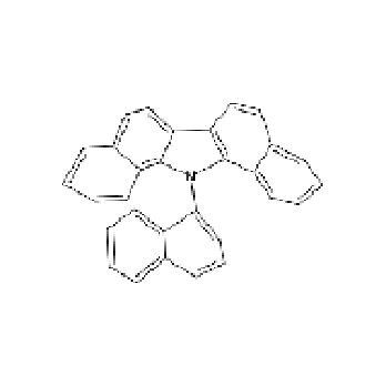 c1ccc2c(-n3c4c5ccccc5ccc4c4ccc5ccccc5c43)cccc2c1